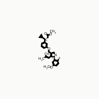 COC(=O)C[C@H](c1cccc(OCc2cnn(-c3cc(OC)ccc3F)c2C=C(C)C)c1)C1CC1